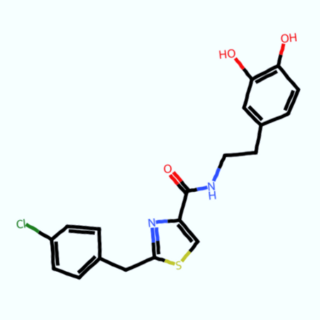 O=C(NCCc1ccc(O)c(O)c1)c1csc(Cc2ccc(Cl)cc2)n1